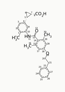 Cc1ccc([C@@H]2C[C@@H]2C(=O)O)cc1NC(=O)c1c(C)cc(OCCc2ccccc2)cc1C